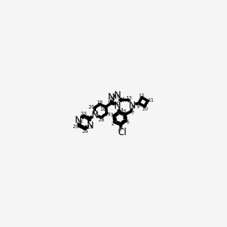 Clc1ccc2c(c1)CN(C1CCC1)Cc1nnc(C3CCN(c4cnccn4)CC3)n1-2